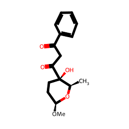 CO[C@H]1CC[C@](O)(C(=O)CC(=O)c2ccccc2)[C@@H](C)O1